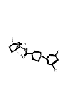 N#CN1[C@H]2CC[C@@H]1[C@H](NC(=O)C1CCN(c3cc(Cl)cc(Cl)c3)CC1)C2